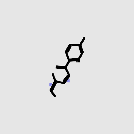 C=C(/C=C\C(C)=C/C)c1ccc(C)cn1